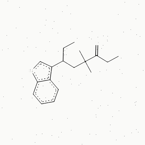 CCC(=O)C(C)(C)CC(CC)c1c[nH]c2ccccc12